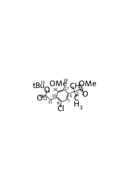 COC(=O)C(C)(C)c1cc(Cl)c(CC(=O)OC(C)(C)C)cc1OC